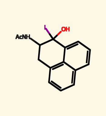 CC(=O)NC1Cc2cccc3cccc(c23)C1(O)I